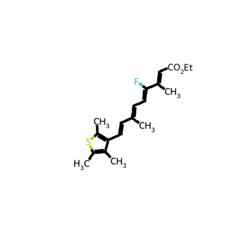 CCOC(=O)/C=C(C)/C(F)=C/C=C(C)/C=C/c1c(C)sc(C)c1C